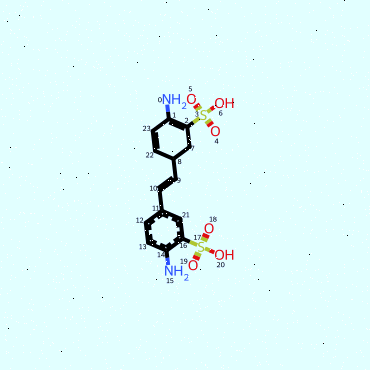 NC1=C(S(=O)(=O)O)CC(C=Cc2ccc(N)c(S(=O)(=O)O)c2)C=C1